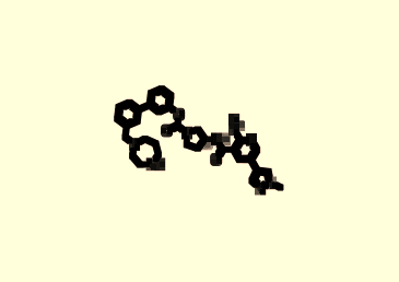 Cn1cc(-c2cnc(N)c(C(=O)N[C@@H]3CCN(C(=O)Oc4cccc(-c5cccc(CN6CCCNCC6)c5)c4)C3)c2)cn1